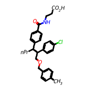 CCCC(c1ccc(C(=O)NCCC(=O)O)cc1)C(COCc1ccc(C)cc1)c1ccc(Cl)cc1